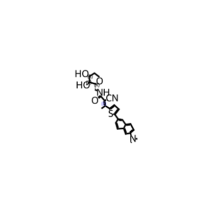 C/C(=C(/C#N)C(=O)NC[C@H]1OCC[C@@H](O)[C@@H]1O)c1ccc(-c2ccc3cc(N(C)C)ccc3c2)s1